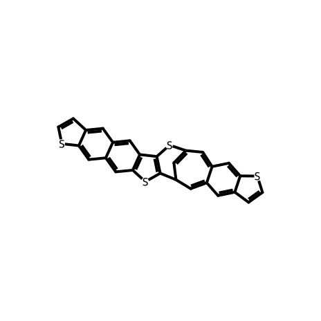 C1=C2C=c3cc4sccc4cc3=CC1c1sc3cc4cc5sccc5cc4cc3c1S2